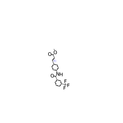 COC(=O)/C=C/c1ccc(NC(=O)c2cccc(C(F)(F)F)c2)cc1